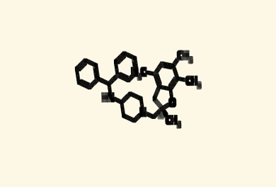 Cc1cc(C)c2c(c1C)O[C@](C)(CN1CCC(NC(c3ccccc3)c3ccccc3)CC1)C2